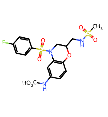 CS(=O)(=O)NCC1CN(S(=O)(=O)c2ccc(F)cc2)c2cc(NC(=O)O)ccc2O1